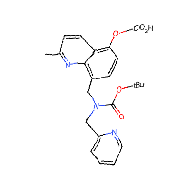 Cc1ccc2c(OC(=O)O)ccc(CN(Cc3ccccn3)C(=O)OC(C)(C)C)c2n1